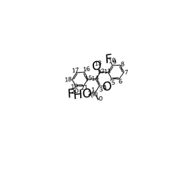 C[C@@H](O)c1oc2cccc(F)c2c(=O)c1-c1cccc(F)c1